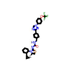 Cc1cs/c(=N\C(=O)NCc2ccc(-c3ncn(-c4ccc(OC(F)(F)F)cc4)n3)cc2)n1-c1ccccc1C1CC1